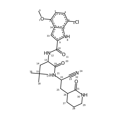 COc1ccc(Cl)c2[nH]c(C(=O)NC(CC(C)(C)C)C(=O)NC(C#N)CC3CCCNC3=O)cc12